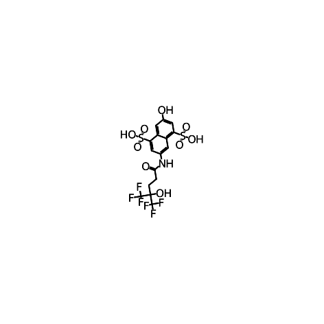 O=C(CCC(O)(C(F)(F)F)C(F)(F)F)Nc1cc(S(=O)(=O)O)c2cc(O)cc(S(=O)(=O)O)c2c1